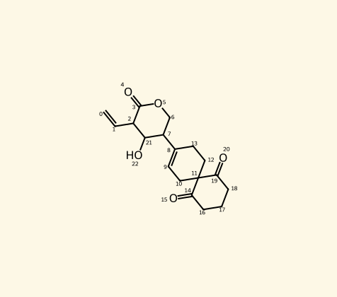 C=CC1C(=O)OCC(C2=CCC3(CC2)C(=O)CCCC3=O)C1O